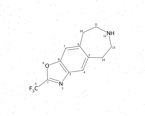 FC(F)(F)c1nc2cc3c(cc2o1)CCNCC3